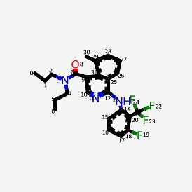 CCCN(CCC)C(=O)c1cnc(Nc2cccc(F)c2C(F)(F)F)c2cccc(C)c12